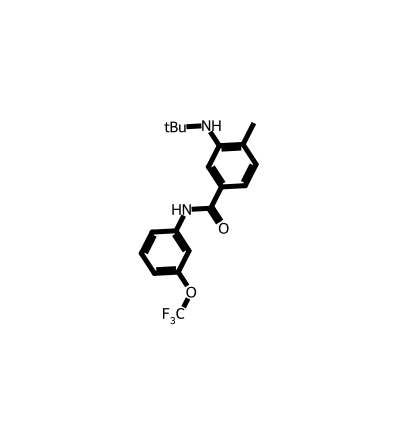 Cc1ccc(C(=O)Nc2cccc(OC(F)(F)F)c2)cc1NC(C)(C)C